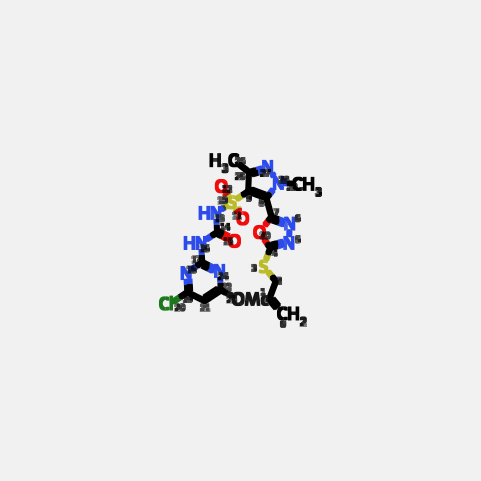 C=CCSc1nnc(-c2c(S(=O)(=O)NC(=O)Nc3nc(Cl)cc(OC)n3)c(C)nn2C)o1